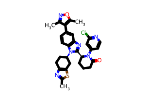 Cc1nc2c(s1)C[C@H](n1c([C@@H]3CCCC(=O)N3c3ccnc(Cl)c3)nc3cc(-c4c(C)noc4C)ccc31)CC2